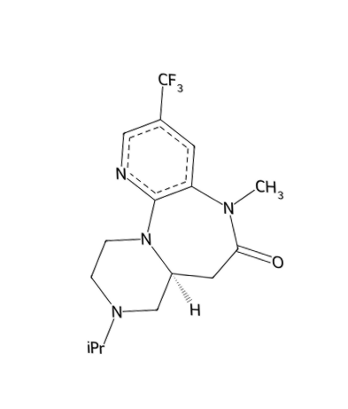 CC(C)N1CCN2c3ncc(C(F)(F)F)cc3N(C)C(=O)C[C@H]2C1